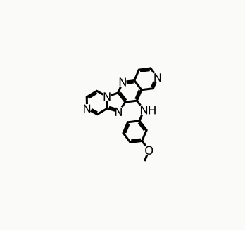 COc1cccc(Nc2c3cnccc3nc3c2nc2cnccn23)c1